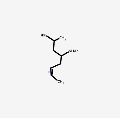 C/C=C\CC(CC(C)C(C)CC)NC(C)=O